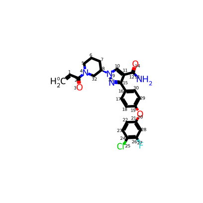 C=CC(=O)N1CCC[C@@H](n2cc(C(N)=O)c(-c3ccc(Oc4ccc(Cl)c(F)c4)cc3)n2)C1